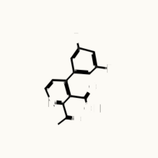 CC(=O)c1nccc(-c2cc(F)cc(F)c2)c1C(=O)O